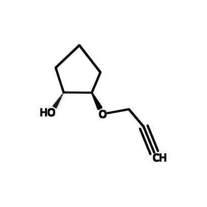 C#CCO[C@@H]1CCC[C@H]1O